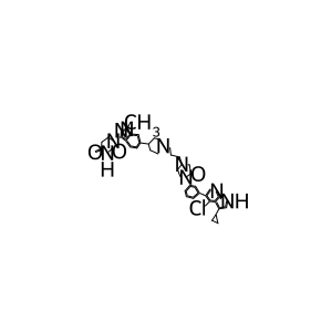 Cn1nc(N2CCC(=O)NC2=O)c2ccc(C3CCN(CCCN4CCN(c5cccc(-c6cnc7[nH]cc(C8CC8)c7c6Cl)c5)C(=O)C4)CC3)cc21